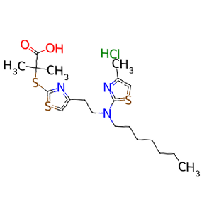 CCCCCCCN(CCc1csc(SC(C)(C)C(=O)O)n1)c1nc(C)cs1.Cl